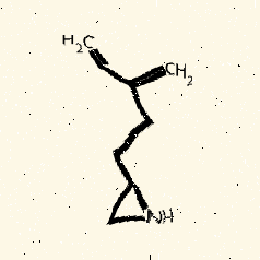 C=CC(=C)CCC1CN1